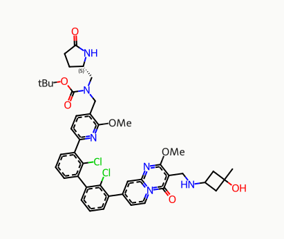 COc1nc(-c2cccc(-c3cccc(-c4ccn5c(=O)c(CNC6CC(C)(O)C6)c(OC)nc5c4)c3Cl)c2Cl)ccc1CN(C[C@@H]1CCC(=O)N1)C(=O)OC(C)(C)C